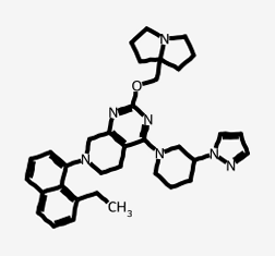 CCc1cccc2cccc(N3CCc4c(nc(OCC56CCCN5CCC6)nc4N4CCCC(n5cccn5)C4)C3)c12